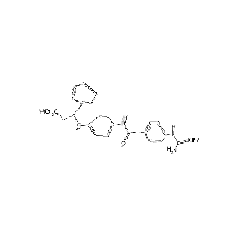 N=C(N)Nc1ccc(C(=O)Nc2ccc(OC(CC(=O)O)c3ccccc3)cc2)cc1